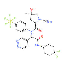 C[C@@]1(O)C[C@H](C(=O)N(c2ccc(S(F)(F)(F)(F)F)cc2)C(C(=O)NC2CCC(F)(F)CC2)c2ccnnc2)N(C#N)C1